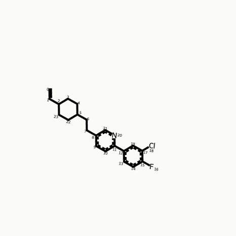 C=CC1CCC(CCc2ccc(-c3ccc(F)c(Cl)c3)nc2)CC1